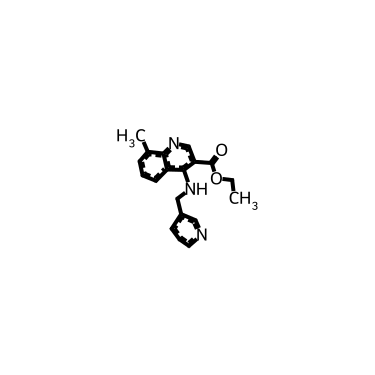 CCOC(=O)c1cnc2c(C)cccc2c1NCc1cccnc1